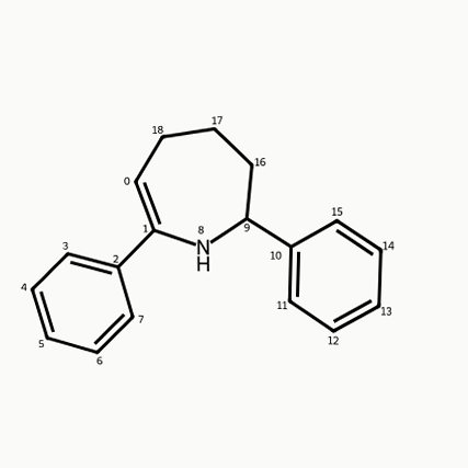 C1=C(c2ccccc2)NC(c2ccccc2)CCC1